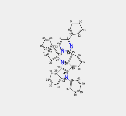 c1ccc(-c2cc(-c3ccccc3)nc(-c3cccc4c3n(-c3ccccc3)c3c5ccccc5n(-c5ccccc5)c43)n2)cc1